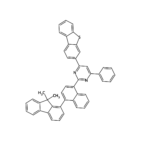 CC1(C)c2ccccc2-c2cccc(-c3ccc(-c4nc(-c5ccccc5)cc(-c5ccc6c(c5)sc5ccccc56)n4)c4ccccc34)c21